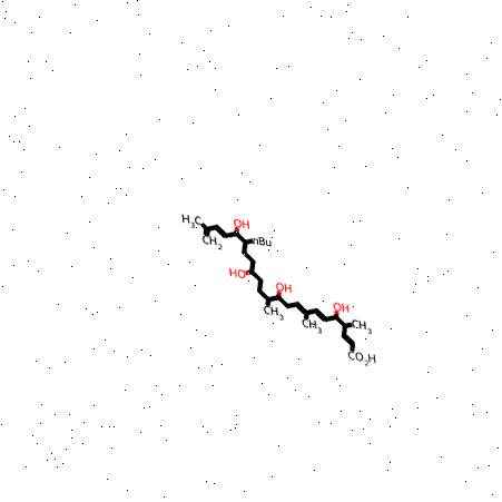 C=C(C)/C=C/C(O)C(CCCC)CCC(O)CCC(C)C(O)C/C=C(C)/C=C/C(O)C(C)/C=C/C(=O)O